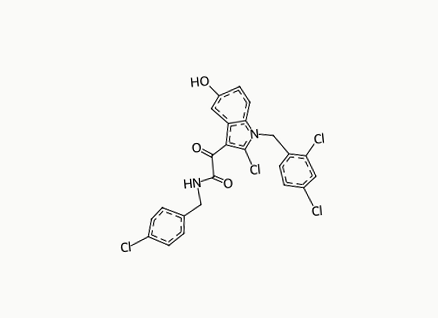 O=C(NCc1ccc(Cl)cc1)C(=O)c1c(Cl)n(Cc2ccc(Cl)cc2Cl)c2ccc(O)cc12